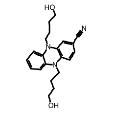 N#Cc1ccc2c(c1)N(CCCCO)c1ccccc1N2CCCCO